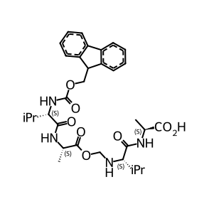 CC(C)[C@H](NCOC(=O)[C@H](C)NC(=O)[C@@H](NC(=O)OCC1c2ccccc2-c2ccccc21)C(C)C)C(=O)N[C@@H](C)C(=O)O